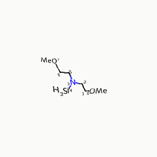 COCCN([SiH3])CCOC